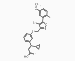 COc1ccc(F)c(-c2onc(COc3cccc(C(CC(=O)O)C4CC4)c3)c2Br)c1